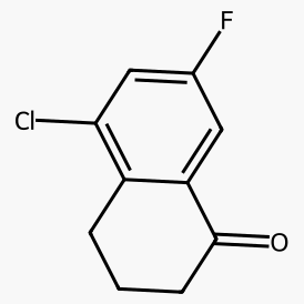 O=C1CCCc2c(Cl)cc(F)cc21